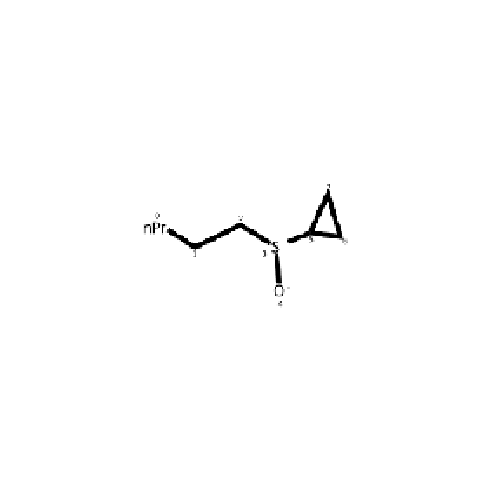 CCCCC[S+]([O-])C1CC1